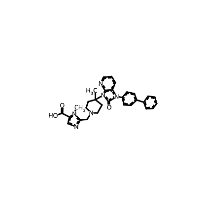 Cn1c(C(=O)O)cnc1CN1CCC(C)(n2c(=O)n(-c3ccc(-c4ccccc4)cc3)c3cccnc32)CC1